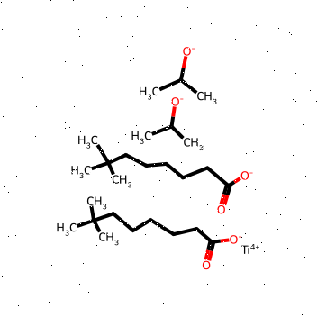 CC(C)(C)CCCCCC(=O)[O-].CC(C)(C)CCCCCC(=O)[O-].CC(C)[O-].CC(C)[O-].[Ti+4]